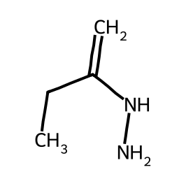 C=C(CC)NN